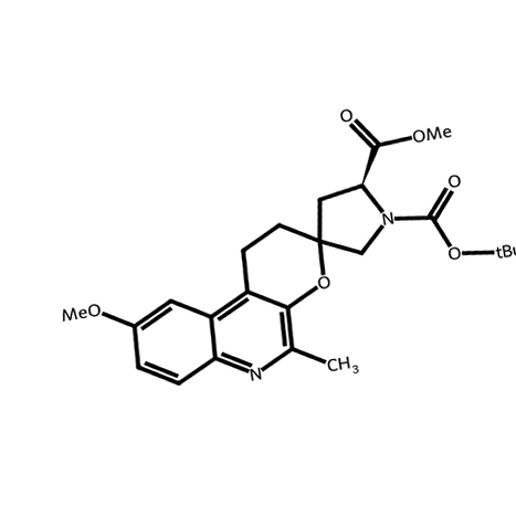 COC(=O)[C@@H]1CC2(CCc3c(c(C)nc4ccc(OC)cc34)O2)CN1C(=O)OC(C)(C)C